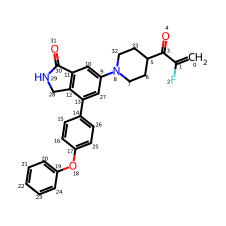 C=C(F)C(=O)C1CCN(c2cc3c(c(-c4ccc(Oc5ccccc5)cc4)c2)CNC3=O)CC1